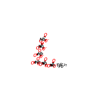 [O]=[Nb](=[O])[O-].[O]=[Nb](=[O])[O-].[O]=[Nb](=[O])[O-].[O]=[Nb](=[O])[O-].[O]=[Nb](=[O])[O-].[O]=[Nb](=[O])[O-].[Pb+2].[Ti+4]